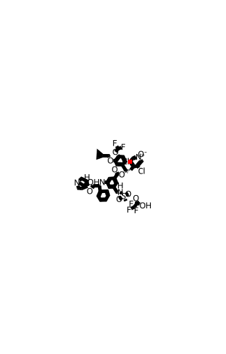 CS(=O)(=O)NCc1cc(NC(C(=O)O[C@H]2CN3CCC2CC3)c2ccccc2)cc(C(=O)O[C@@H](Cc2c(Cl)c[n+]([O-])cc2Cl)c2ccc(OC(F)F)c(OCC3CC3)c2)c1.O=C(O)C(F)(F)F